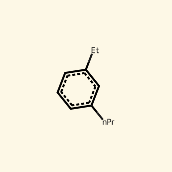 CCCc1cccc(CC)c1